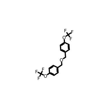 FC(F)(F)Oc1ccc(COCc2ccc(OC(F)(F)F)cc2)cc1